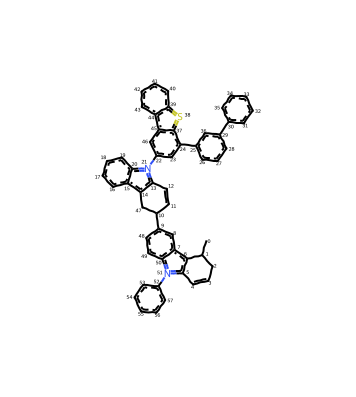 CC1CC=Cc2c1c1cc(C3C=Cc4c(c5ccccc5n4-c4cc(-c5cccc(-c6ccccc6)c5)c5sc6ccccc6c5c4)C3)ccc1n2-c1ccccc1